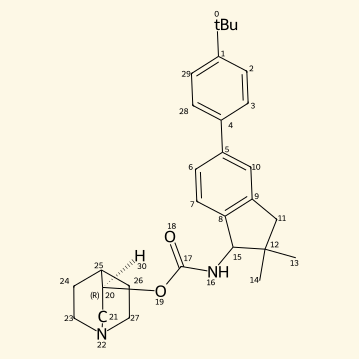 CC(C)(C)c1ccc(-c2ccc3c(c2)CC(C)(C)C3NC(=O)O[C@H]2CN3CCC2CC3)cc1